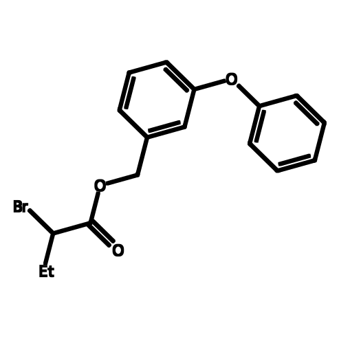 CCC(Br)C(=O)OCc1cccc(Oc2ccccc2)c1